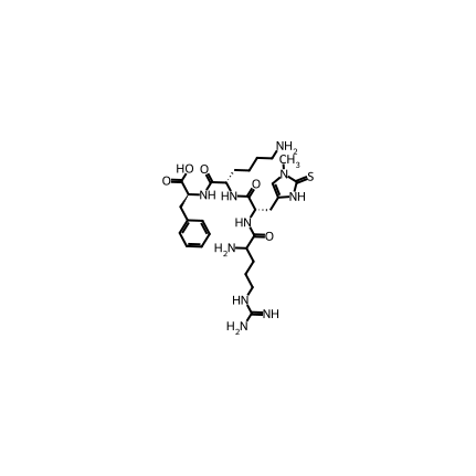 Cn1cc(C[C@H](NC(=O)C(N)CCCNC(=N)N)C(=O)N[C@@H](CCCCN)C(=O)N[C@@H](Cc2ccccc2)C(=O)O)[nH]c1=S